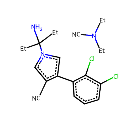 CCC(N)(CC)n1cc(C#N)c(-c2cccc(Cl)c2Cl)c1.CCN(C#N)CC